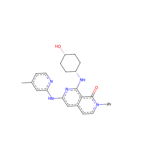 Cc1ccnc(Nc2cc3ccn(C(C)C)c(=O)c3c(N[C@H]3CC[C@@H](O)CC3)n2)c1